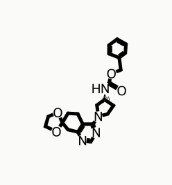 O=C(N[C@@H]1CCN(c2ncnc3c2CCC2(C3)OCCO2)C1)OCc1ccccc1